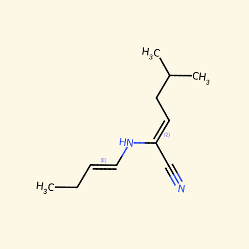 CC/C=C/N/C(C#N)=C\CC(C)C